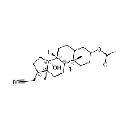 CC(=O)OC1CC[C@@]2(C)C(CC[C@@H]3[C@@H]2CC[C@]2(C)[C@@H](CC#N)CC[C@@]32O)C1